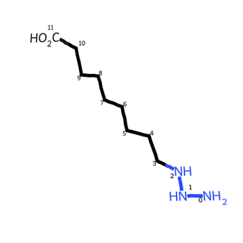 NNNCCCCCCCCC(=O)O